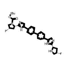 CC(C)(C)OC(=O)N1C[C@@H](F)C[C@H]1c1ncc(-c2ccc(-c3ccc(-c4cnc([C@@H]5C[C@H](F)CN5)[nH]4)cc3)cc2)[nH]1